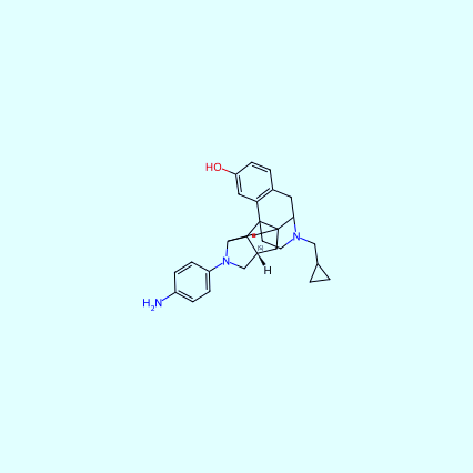 Nc1ccc(N2C[C@H]3CC45CCC2C3C42CCN(CC3CC3)C5Cc3ccc(O)cc32)cc1